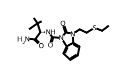 CCSCCn1c(=O)n(C(=O)N[C@H](C(N)=O)C(C)(C)C)c2ccccc21